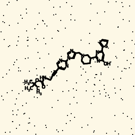 CC(C)(C)OC(=O)NCC#Cc1cnc(-n2cnc(CN3CCCC(c4nc(O)cc(-c5cccs5)n4)C3)c2)nc1